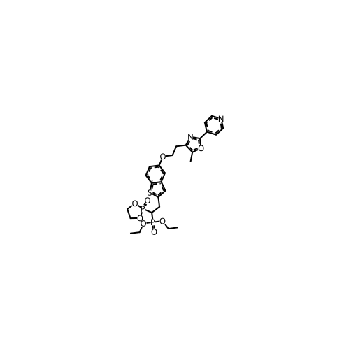 CCOP(=O)(OCC)C(Cc1cc2cc(OCCc3nc(-c4ccncc4)oc3C)ccc2s1)P1(=O)OCCO1